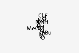 CCCCNC(COc1cc2c(Nc3ccc(F)c(Cl)c3)ncnc2cc1OC)CN1CCOCC1